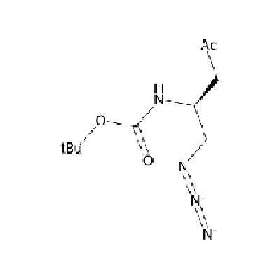 CC(=O)C[C@@H](CN=[N+]=[N-])NC(=O)OC(C)(C)C